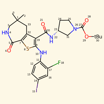 CC1(C)CNC(=O)c2sc(Nc3ccc(I)cc3F)c(C(=O)N[C@@H]3CCN(C(=O)OC(C)(C)C)C3)c2C1